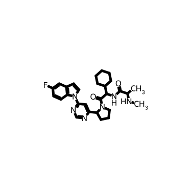 CNC(C)C(=O)NC(C(=O)N1CCCC1c1cc(-n2ccc3cc(F)ccc32)ncn1)C1CCCCC1